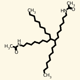 CCCCCCCCCC(CCCCCCCNC(C)=O)C(CCCCCCCCC)CCCCCCCNC(C)=O